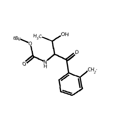 [CH2]c1ccccc1C(=O)C(NC(=O)OC(C)(C)C)C(C)O